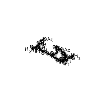 CC(=O)OCc1ccc(NC(=O)[C@H](CCCNC(N)=O)NC(=O)[C@@H](NC(=O)CCOCCCN(CCOCCC(=O)N[C@H](C(=O)N[C@@H](CCCNC(N)=O)C(=O)Nc2ccc(COC(C)=O)cc2)C(C)C)C(=O)CCCCCN2C(=O)C=CC2=O)C(C)C)cc1